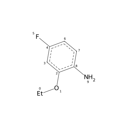 CCOc1cc(F)ccc1N